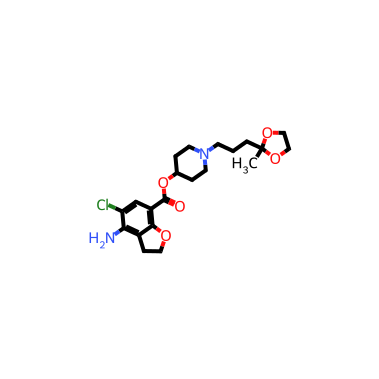 CC1(CCCN2CCC(OC(=O)c3cc(Cl)c(N)c4c3OCC4)CC2)OCCO1